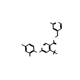 O=C(NCc1ccnc(F)c1)c1cnc(Nc2ccc(Cl)cc2Cl)cc1C(F)(F)F